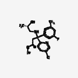 CC(C)OC(=O)CC(NC[C@@H](O)C(F)(F)F)(c1cc(F)cc(C(F)(F)F)c1)c1ccc(Cl)cn1